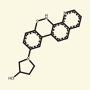 OC1CCN(c2ccc3c(c2)-c2ccc4cccnc4c2NS3)C1